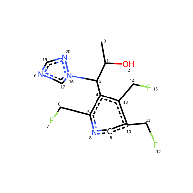 CC(O)C(c1c(CF)ncc(CF)c1CF)n1cncn1